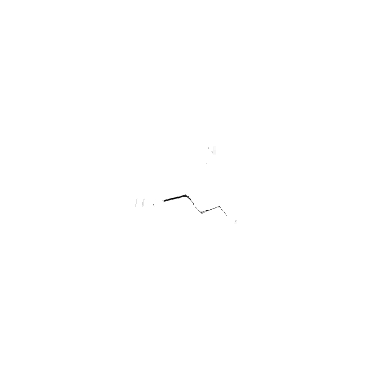 CCCCO.[F-].[F-].[Ni+2]